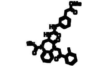 COC(=O)Cc1cccc(NC(=O)NC2CN(C(=O)C(C)(C)C)c3ccccc3N(CC(=O)c3ccccc3C)C2=O)c1